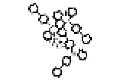 CC1(C)c2cc(N(c3ccc(-c4ccccc4)cc3)c3ccccn3)ccc2-c2cc3c(N(c4ccc(-c5ccccc5)cc4)c4ccccn4)c4ccccc4c(N(c4ccc(-c5ccccc5)cc4)c4ccccn4)c3cc21